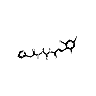 O=C(C=Cc1c(F)cc(F)cc1F)NC(=S)NNC(=O)Cc1cccs1